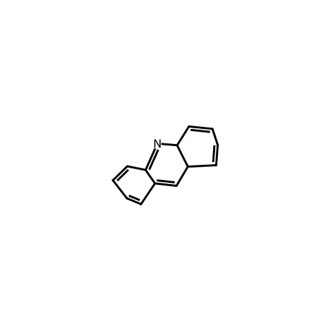 C1=CC2C=c3ccccc3=NC2C=C1